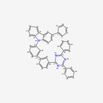 c1ccc(-c2ccc3c(c2)c2ccccc2n3-c2cccc(-c3cccc(-c4nc(-c5ccccc5)nc(-c5ccccc5)n4)c3)c2)cc1